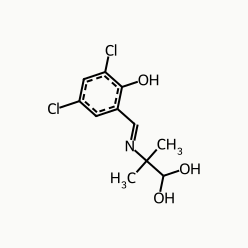 CC(C)(N=Cc1cc(Cl)cc(Cl)c1O)C(O)O